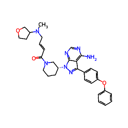 CN(C/C=C/C(=O)N1CCC[C@@H](n2nc(-c3ccc(Oc4ccccc4)cc3)c3c(N)ncnc32)C1)C1CCOC1